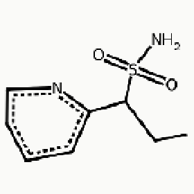 CCC(c1ccccn1)S(N)(=O)=O